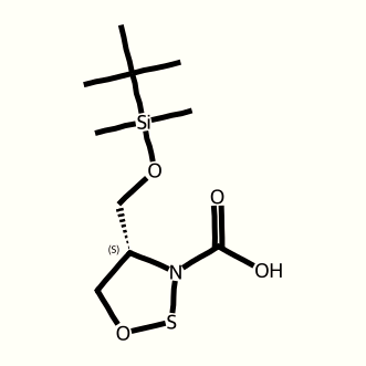 CC(C)(C)[Si](C)(C)OC[C@H]1COSN1C(=O)O